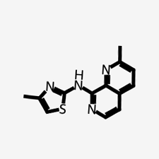 Cc1csc(Nc2nccc3ccc(C)nc23)n1